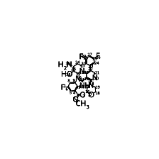 COC(=O)c1cc(F)cc2nc(-c3c(N4CCOCC4)ncc(-c4cc(F)cc(F)c4)c3N3CC[C@@H](N)[C@@H](O)C3)[nH]c12